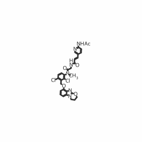 CC(=O)Nc1ccc(C=CC(=O)NCC(=O)N(C)c2ccc(Cl)c(COc3cccc4c3nc3n4CCCO3)c2Cl)cn1